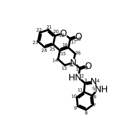 O=C(Nc1n[nH]c2ccccc12)N1CCc2c(c(=O)oc3ccccc23)C1